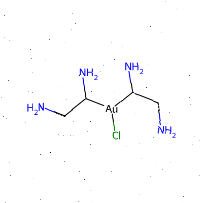 NC[CH](N)[Au]([Cl])[CH](N)CN